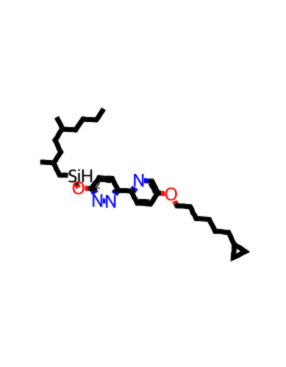 CCCCC(C)CCC(C)C[SiH2]Oc1ccc(-c2ccc(OCCCCCCC3CC3)cn2)nn1